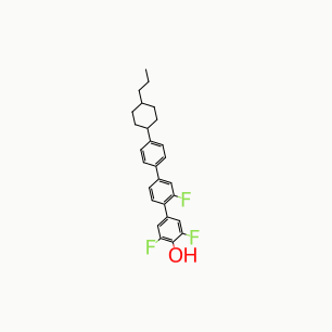 CCCC1CCC(c2ccc(-c3ccc(-c4cc(F)c(O)c(F)c4)c(F)c3)cc2)CC1